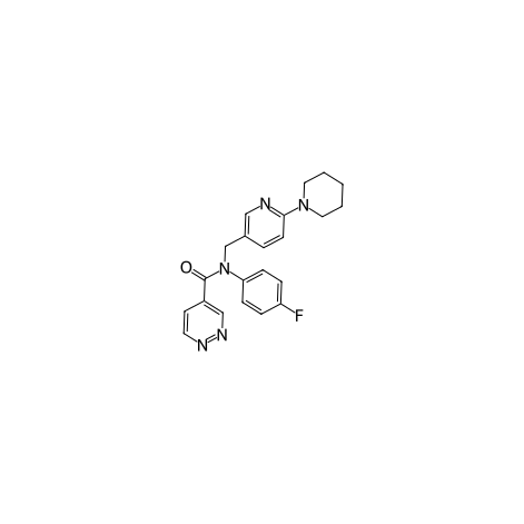 O=C(c1ccnnc1)N(Cc1ccc(N2CCCCC2)nc1)c1ccc(F)cc1